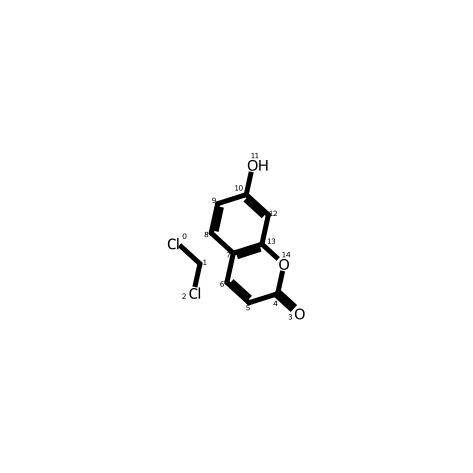 ClCCl.O=c1ccc2ccc(O)cc2o1